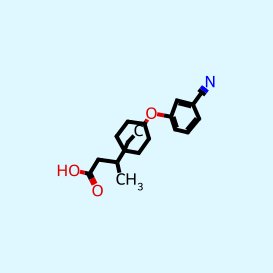 CC(CC(=O)O)C12CCC(Oc3cccc(C#N)c3)(CC1)CC2